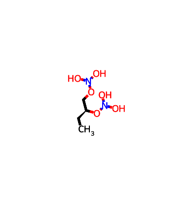 CC[C@@H](CON(O)O)ON(O)O